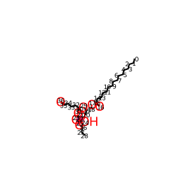 CCCCCCCCCCCCCCCC(=O)OC[C@H](COP(=O)(O)OCCC)OC(=O)CCCC=O